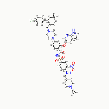 CC1(C)CCC(CN2CCN(c3ccc(C(=O)NS(=O)(=O)c4ccc(NCC5CCN(C6CC6)CC5)c([N+](=O)[O-])c4)c(Oc4cnc5[nH]ccc5c4)c3)CC2)=C(c2ccc(Cl)cc2)C1